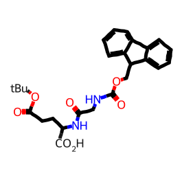 CC(C)(C)OC(=O)CCC(NC(=O)CNC(=O)OCC1c2ccccc2-c2ccccc21)C(=O)O